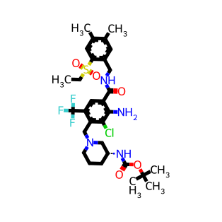 CCS(=O)(=O)c1cc(C)c(C)cc1CNC(=O)c1cc(C(F)(F)F)c(CN2CCC[C@@H](NC(=O)OC(C)(C)C)C2)c(Cl)c1N